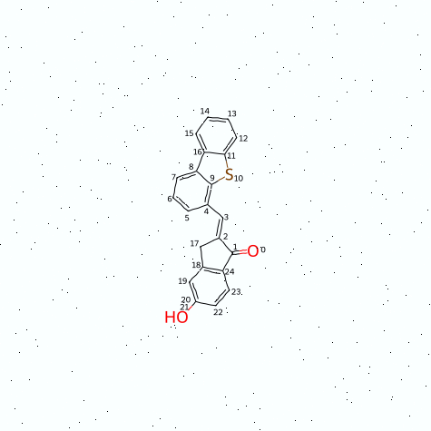 O=C1C(=Cc2cccc3c2sc2ccccc23)Cc2cc(O)ccc21